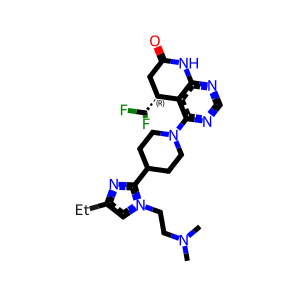 CCc1cn(CCN(C)C)c(C2CCN(c3ncnc4c3[C@H](C(F)F)CC(=O)N4)CC2)n1